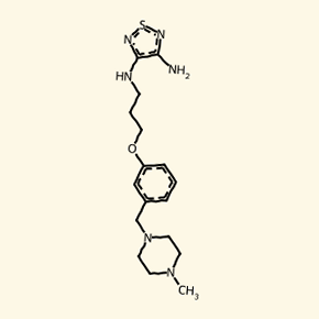 CN1CCN(Cc2cccc(OCCCNc3nsnc3N)c2)CC1